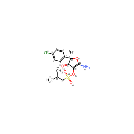 [2H][C@]1(c2ccc(Cl)cc2)OC(N)=C(OS(=O)(=O)CC(C)C)C1=O